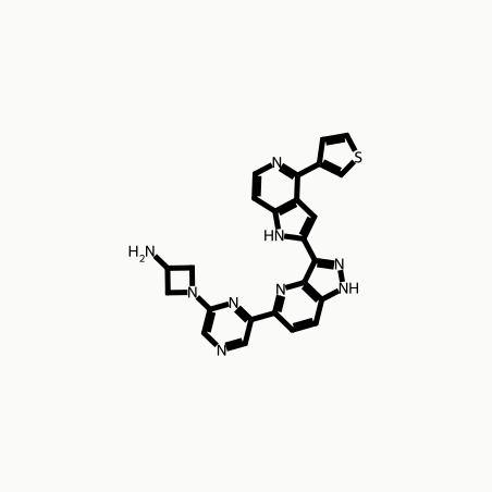 NC1CN(c2cncc(-c3ccc4[nH]nc(-c5cc6c(-c7ccsc7)nccc6[nH]5)c4n3)n2)C1